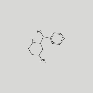 CC1CCNC(C(O)c2ccccc2)C1